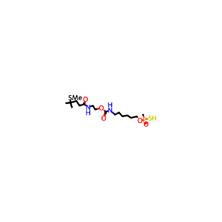 CSC(C)(C)CCC(=O)NCCOC(=O)NCCCCCCOP(C)(=O)S